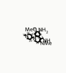 CNC1=C(C=N)c2cc(N)c(OC)cc2N(C2CCN(C)CC2)CC1